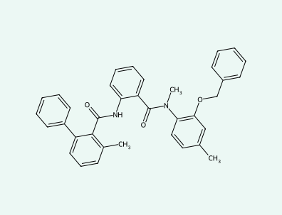 Cc1ccc(N(C)C(=O)c2ccccc2NC(=O)c2c(C)cccc2-c2ccccc2)c(OCc2ccccc2)c1